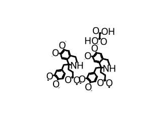 COC(=O)CCC1(Cc2ccc(OC)c(OC)c2)NCCc2cc(OC)c(OC)cc21.COC(=O)CCC1(Cc2ccc(OC)c(OC)c2)NCCc2cc(OC)c(OC)cc21.O=C(O)C(=O)O